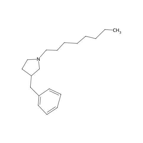 CCCCCCCCN1CCC(Cc2ccccc2)C1